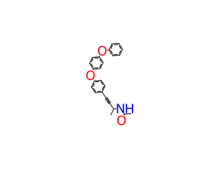 CC(=O)NC(C)C#Cc1ccc(Oc2ccc(Oc3ccccc3)cc2)cc1